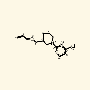 C=CCOCC1CCCN(c2nccc(Cl)n2)C1